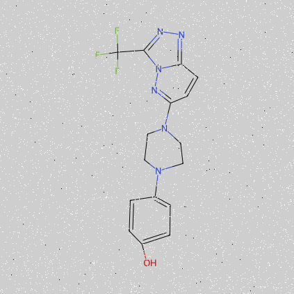 Oc1ccc(N2CCN(c3ccc4nnc(C(F)(F)F)n4n3)CC2)cc1